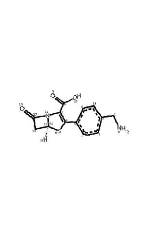 NCc1ccc(C2=C(C(=O)O)N3C(=O)C[C@@H]3S2)cc1